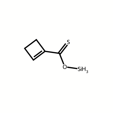 [SiH3]OC(=S)C1=CCC1